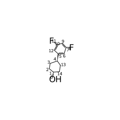 O[C@H]1CC[C@@H](c2cc(F)cc(F)c2)CC1